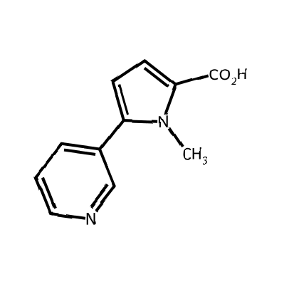 Cn1c(C(=O)O)ccc1-c1cccnc1